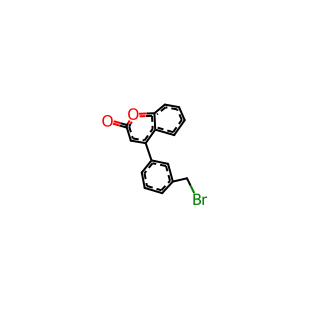 O=c1cc(-c2cccc(CBr)c2)c2ccccc2o1